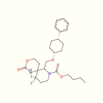 CCCCOC(=O)N1CCC(F)(F)C2(CCOC(=O)N2)C1CO[C@H]1CC[C@@H](c2ccccc2)CC1